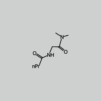 CCCC(=O)NCC(=O)N(C)C